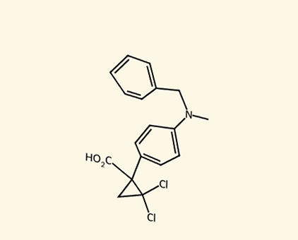 CN(Cc1ccccc1)c1ccc(C2(C(=O)O)CC2(Cl)Cl)cc1